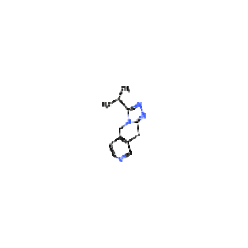 CC(C)c1nnc2n1Cc1ccncc1C2